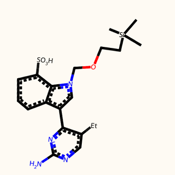 CCc1cnc(N)nc1-c1cn(COCC[Si](C)(C)C)c2c(S(=O)(=O)O)cccc12